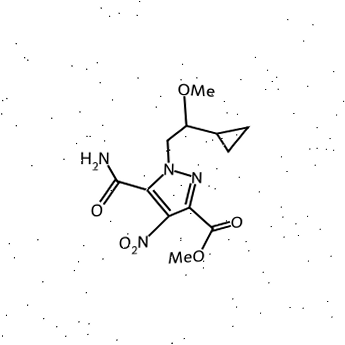 COC(=O)c1nn(CC(OC)C2CC2)c(C(N)=O)c1[N+](=O)[O-]